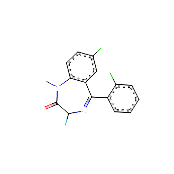 CN1C(=O)C(F)N=C(c2ccccc2Cl)c2cc(Cl)ccc21